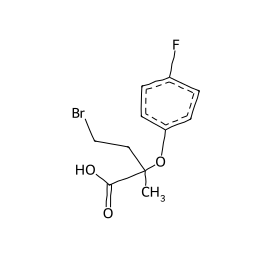 CC(CCBr)(Oc1ccc(F)cc1)C(=O)O